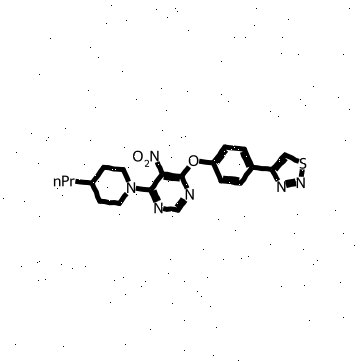 CCCC1CCN(c2ncnc(Oc3ccc(-c4csnn4)cc3)c2[N+](=O)[O-])CC1